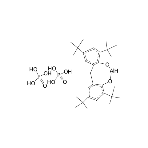 CC(C)(C)c1cc2c(c(C(C)(C)C)c1)[O][AlH][O]c1c(cc(C(C)(C)C)cc1C(C)(C)C)C2.O=P(O)(O)O.O=P(O)(O)O